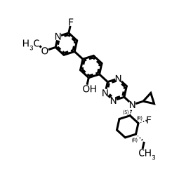 CC[C@@H]1CCC[C@H](N(c2cnc(-c3ccc(-c4cc(F)nc(OC)c4)cc3O)nn2)C2CC2)[C@@H]1F